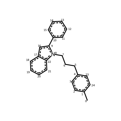 Cc1ccc(CCCn2c(-c3ccccc3)cc3ccccc32)cc1